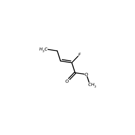 CCC=C(F)C(=O)OC